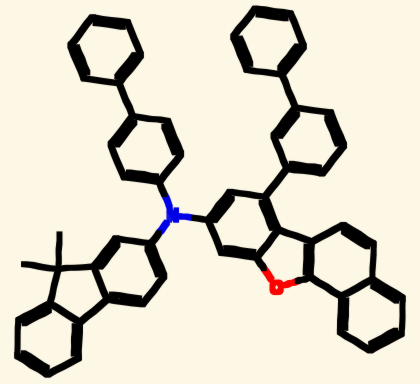 CC1(C)c2ccccc2-c2ccc(N(c3ccc(-c4ccccc4)cc3)c3cc(-c4cccc(-c5ccccc5)c4)c4c(c3)oc3c5ccccc5ccc34)cc21